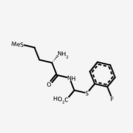 CSCC[C@H](N)C(=O)NC(Sc1ccccc1F)C(=O)O